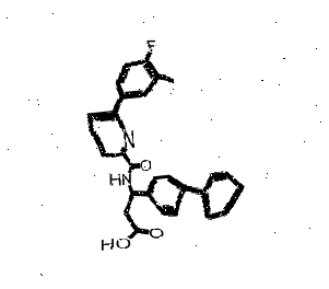 Cc1cc(-c2cccc(C(=O)NC(CC(=O)O)c3ccc(-c4ccccc4)cc3)n2)ccc1F